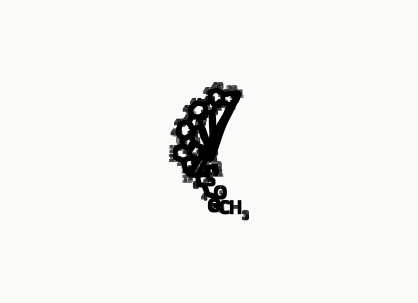 COC(=O)CCCC1(c2cccs2)C23C4C5CCC6c7c5c5c8c9c7c7c%10c%11c%12c%13c%14c%15c%16c(c-8c%14c%119)C8(C(C%16CCC%15C%13CCC%12C%10CCC76)C182)C543